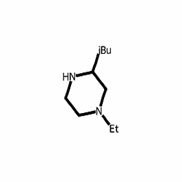 [CH2]CN1CCNC(C(C)CC)C1